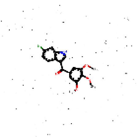 COc1cc(C(=O)c2c[nH]c3cc(Br)ccc23)cc(OC)c1OC